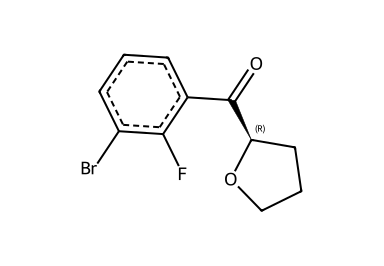 O=C(c1cccc(Br)c1F)[C@H]1CCCO1